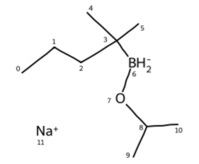 CCCC(C)(C)[BH2-]OC(C)C.[Na+]